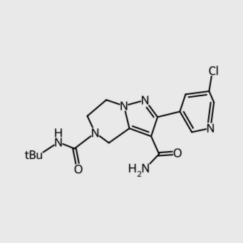 CC(C)(C)NC(=O)N1CCn2nc(-c3cncc(Cl)c3)c(C(N)=O)c2C1